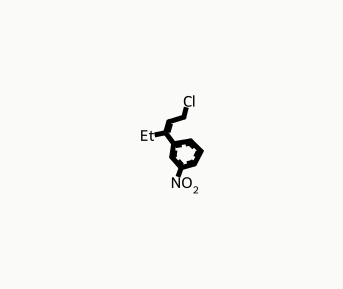 CC/C(=C/CCl)c1cccc([N+](=O)[O-])c1